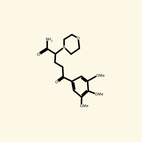 COc1cc(C(=O)CCC(C(N)=O)N2CCOCC2)cc(OC)c1OC